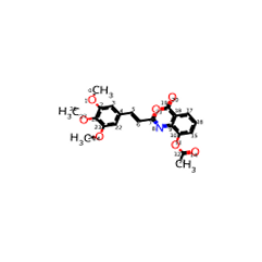 COc1cc(C=Cc2nc3c(OC(C)=O)cccc3c(=O)o2)cc(OC)c1OC